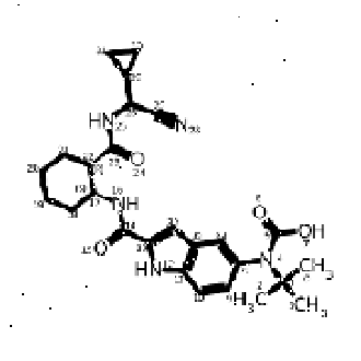 CC(C)(C)N(C(=O)O)c1ccc2[nH]c(C(=O)N[C@H]3CCCC[C@H]3C(=O)NC(C#N)C3CC3)cc2c1